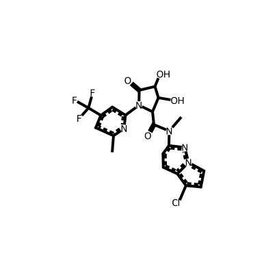 Cc1cc(C(F)(F)F)cc(N2C(=O)C(O)C(O)C2C(=O)N(C)c2ccc3c(Cl)ccn3n2)n1